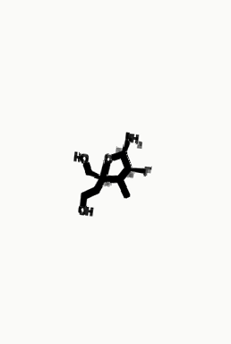 B[C@@H]1O[C@@](CO)(CCO)C(C)[C@@H]1F